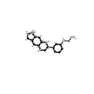 CCOc1cccc(-c2cnc3cc4cn[nH]c4cc3n2)c1